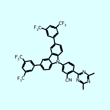 Cc1nc(C)nc(-c2ccc(-n3c4ccc(-c5cc(C(F)(F)F)cc(C(F)(F)F)c5)cc4c4cc(-c5cc(C(F)(F)F)cc(C(F)(F)F)c5)ccc43)cc2C#N)n1